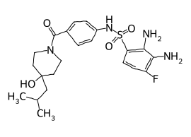 CC(C)CC1(O)CCN(C(=O)c2ccc(NS(=O)(=O)c3ccc(F)c(N)c3N)cc2)CC1